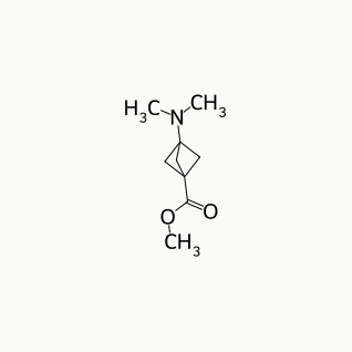 COC(=O)C12CC(N(C)C)(C1)C2